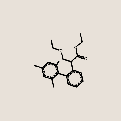 CCOCC(C(=O)OCC)c1ccccc1-c1c(C)cc(C)cc1C